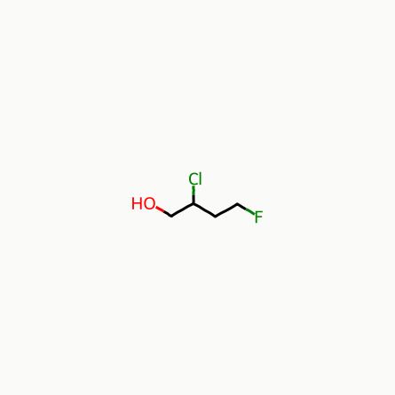 OCC(Cl)CCF